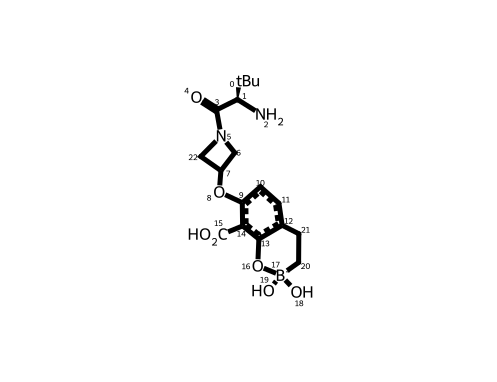 CC(C)(C)[C@@H](N)C(=O)N1CC(Oc2ccc3c(c2C(=O)O)O[B-](O)(O)CC3)C1